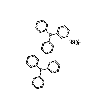 [Br-].[Br-].[Co+2].c1ccc(P(c2ccccc2)c2ccccc2)cc1.c1ccc(P(c2ccccc2)c2ccccc2)cc1